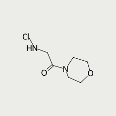 O=C(CNCl)N1CCOCC1